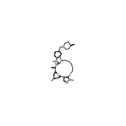 C=C1CCN(Cc2ccc3c(c2)N2C[C@H](C)CCCCc4c(cnn4C)-c4cc(cc(C)n4)C(=C)/N=C/2N3)CC1